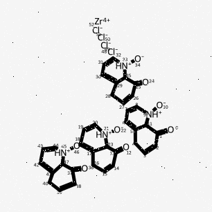 O=C1C=CCC2=CC=C[NH+]([O-])C12.O=C1C=CCC2=CC=C[NH+]([O-])C12.O=C1C=CCC2=CC=C[NH+]([O-])C12.O=C1C=CCC2=CC=C[NH+]([O-])C12.[Cl-].[Cl-].[Cl-].[Cl-].[Zr+4]